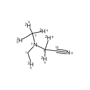 [2H]CN(C([2H])([2H])[2H])C([2H])([2H])C#N